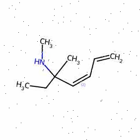 C=C/C=C\C(C)(CC)NC